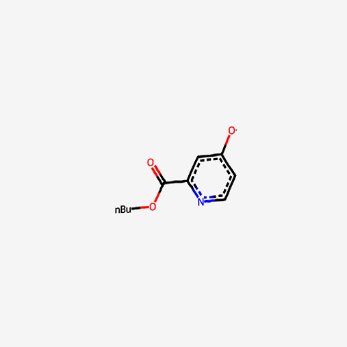 CCCCOC(=O)c1cc([O])ccn1